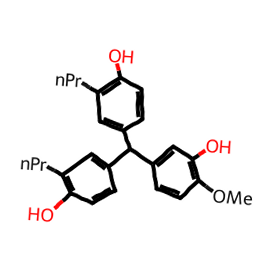 CCCc1cc(C(c2ccc(OC)c(O)c2)c2ccc(O)c(CCC)c2)ccc1O